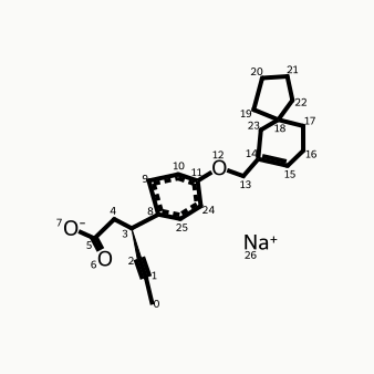 CC#C[C@@H](CC(=O)[O-])c1ccc(OCC2=CCCC3(CCCC3)C2)cc1.[Na+]